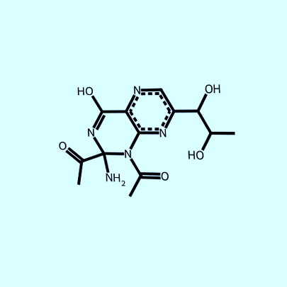 CC(=O)N1c2nc(C(O)C(C)O)cnc2C(O)=NC1(N)C(C)=O